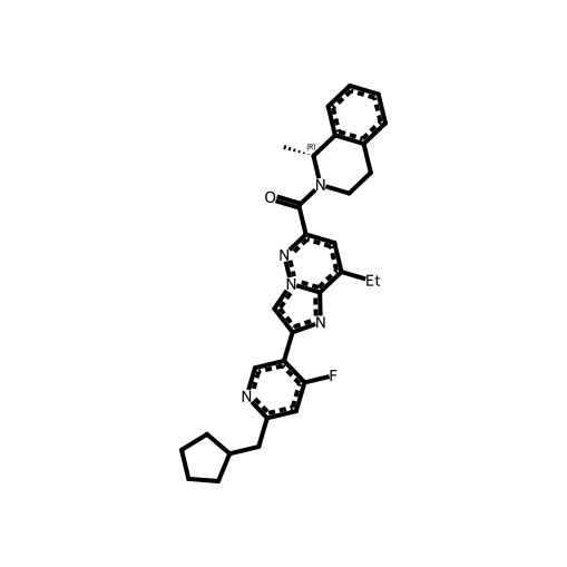 CCc1cc(C(=O)N2CCc3ccccc3[C@H]2C)nn2cc(-c3cnc(CC4CCCC4)cc3F)nc12